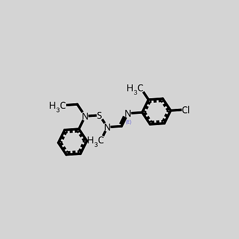 CCN(SN(C)/C=N/c1ccc(Cl)cc1C)c1ccccc1